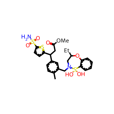 CCC1CN(Cc2cc(C(CC(=O)OC)c3ccc(S(N)(=O)=O)s3)ccc2C)S(O)(O)c2ccccc2O1